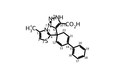 Cc1csc(C2(c3nn[nH]c3C(=O)O)C=CC(c3ccccc3)=CC2)n1